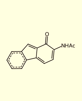 CC(=O)NC1=CC=C2C(=Cc3ccccc32)C1=O